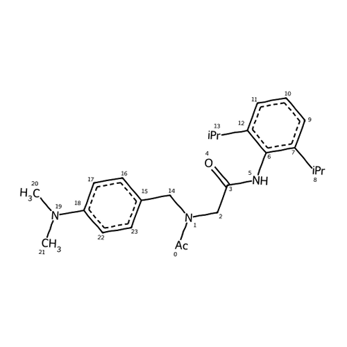 CC(=O)N(CC(=O)Nc1c(C(C)C)cccc1C(C)C)Cc1ccc(N(C)C)cc1